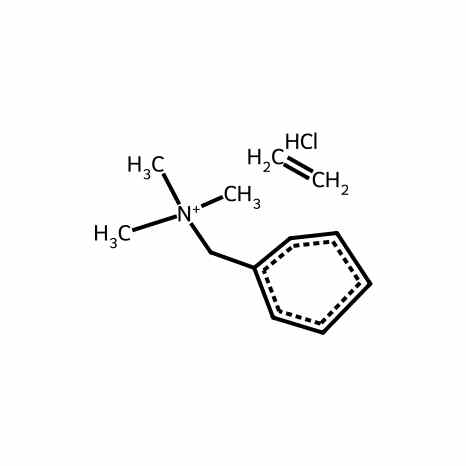 C=C.C[N+](C)(C)Cc1ccccc1.Cl